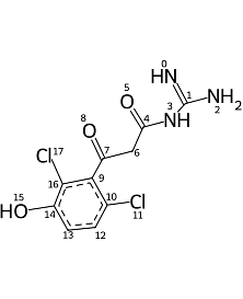 N=C(N)NC(=O)CC(=O)c1c(Cl)ccc(O)c1Cl